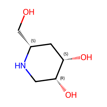 OC[C@@H]1C[C@H](O)[C@H](O)CN1